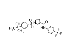 CC(C)(C)c1ccc(S(=O)(=O)n2ccc(C(=O)Nc3ccc(C(F)(F)F)cc3)c2)cc1